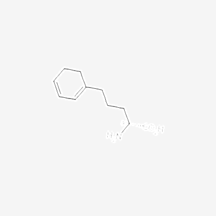 N[C@H](CCCC1=CC=CCC1)C(=O)O